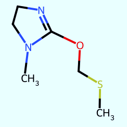 CSCOC1=NCCN1C